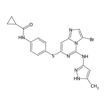 Cc1cc(Nc2nc(Sc3ccc(NC(=O)C4CC4)cc3)cc3ncc(Br)n23)n[nH]1